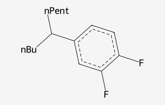 CCCCCC(CCCC)c1ccc(F)c(F)c1